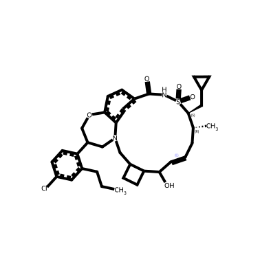 CCCc1cc(Cl)ccc1C1COc2ccc3cc2N(C1)CC1CCC1C(O)/C=C/C[C@@H](C)[C@H](CC1CC1)S(=O)(=O)NC3=O